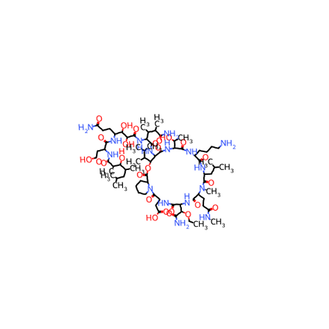 CCOC(C(N)=O)C1NC(=O)C(CCC(=O)NC)N(C)C(=O)C(CC(C)C)NC(=O)C(CCCCN)NC(=O)C(C(C)O)NC(=O)C(NC(=O)C(NC(=O)C(O)C(O)C(CCC(N)=O)NC(=O)C(CC(=O)O)NC(=O)C(C)C(O)C(C)CC(C)C)C(C)C(C)C(N)=O)C(C(C)C(C)C)OC(=O)C2CCCCN2C(=O)C(CC(=O)O)NC1=O